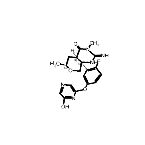 C[C@H]1C[C@H]2C(=O)N(C)C(=N)N[C@@]2(c2cc(Oc3cncc(O)n3)ccc2F)CO1